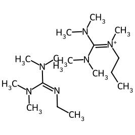 CCC[N+](C)=C(N(C)C)N(C)C.CCN=C(N(C)C)N(C)C